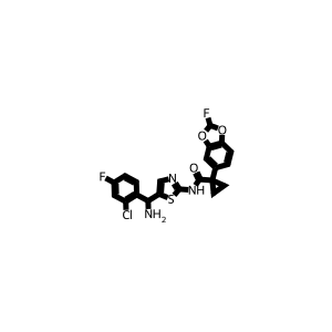 NC(c1cnc(NC(=O)C2(c3ccc4c(c3)OC(F)O4)CC2)s1)c1ccc(F)cc1Cl